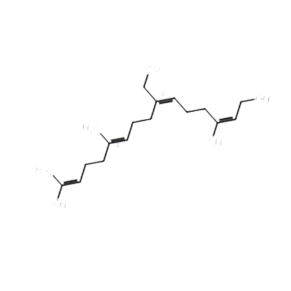 CC(C)=CCC/C(C)=C/CC/C(=C\CC/C(C)=C\CO)CO